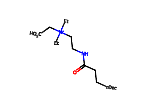 CCCCCCCCCCCCC(=O)NCC[N+](CC)(CC)CC(=O)O